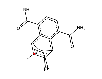 NC(=O)c1ccc(C(N)=O)c2c3c(F)c(F)c(c(F)c3F)c12